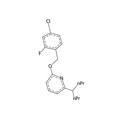 CCCC(CCC)c1cccc(OCc2ccc(Cl)cc2F)n1